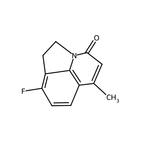 Cc1cc(=O)n2c3c(c(F)ccc13)CC2